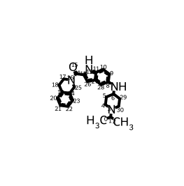 CC(C)N1CCC(Nc2ccc3[nH]c(C(=O)N4CCc5ccccc5C4)cc3c2)CC1